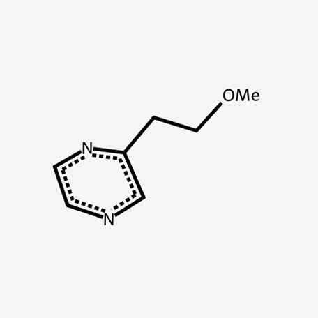 COCCc1cnccn1